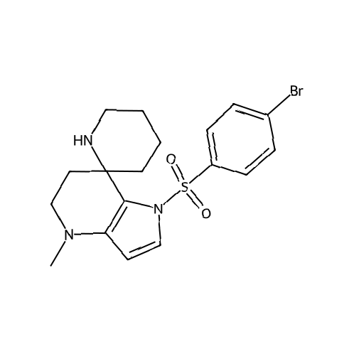 CN1CCC2(CCCCN2)c2c1ccn2S(=O)(=O)c1ccc(Br)cc1